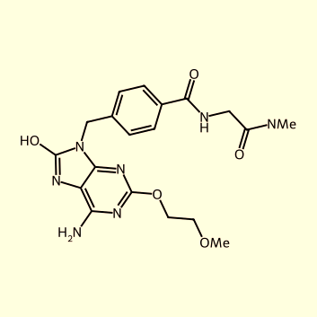 CNC(=O)CNC(=O)c1ccc(Cn2c(O)nc3c(N)nc(OCCOC)nc32)cc1